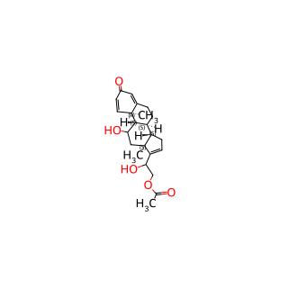 CC(=O)OCC(O)C1=CC[C@H]2[C@@H]3CCC4=CC(=O)C=C[C@]4(C)[C@H]3C(O)C[C@]12C